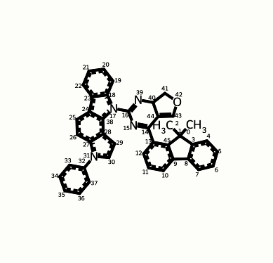 CC1(C)c2ccccc2-c2cccc(C3=NC(n4c5ccccc5c5ccc6c(ccn6-c6ccccc6)c54)=NC4COC=C34)c21